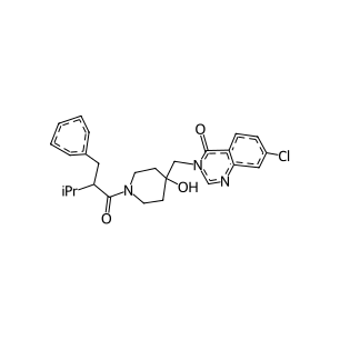 CC(C)C(Cc1ccccc1)C(=O)N1CCC(O)(Cn2cnc3cc(Cl)ccc3c2=O)CC1